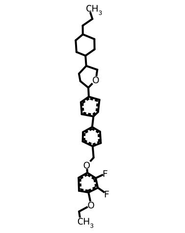 CCCC1CCC(C2CCC(c3ccc(-c4ccc(COc5ccc(OCC)c(F)c5F)cc4)cc3)OC2)CC1